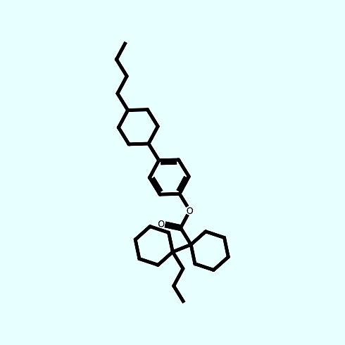 CCCCC1CCC(c2ccc(OC(=O)C3(C4(CCC)CCCCC4)CCCCC3)cc2)CC1